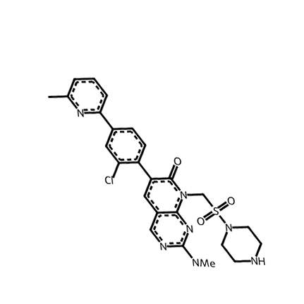 CNc1ncc2cc(-c3ccc(-c4cccc(C)n4)cc3Cl)c(=O)n(CS(=O)(=O)N3CCNCC3)c2n1